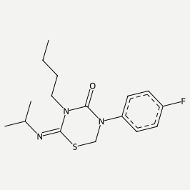 CCCCN1C(=O)N(c2ccc(F)cc2)CSC1=NC(C)C